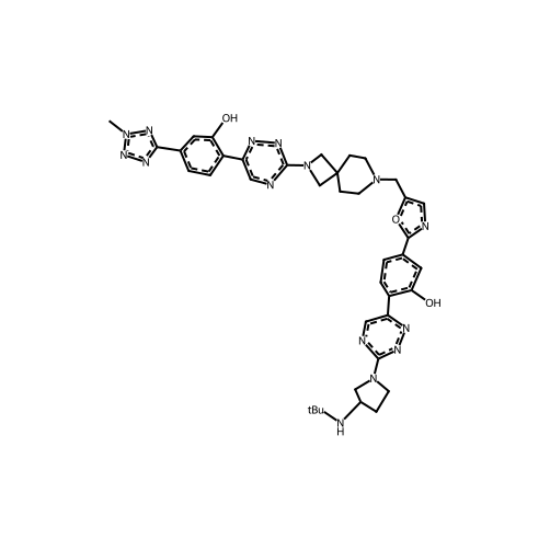 Cn1nnc(-c2ccc(-c3cnc(N4CC5(CCN(Cc6cnc(-c7ccc(-c8cnc(N9CCC(NC(C)(C)C)C9)nn8)c(O)c7)o6)CC5)C4)nn3)c(O)c2)n1